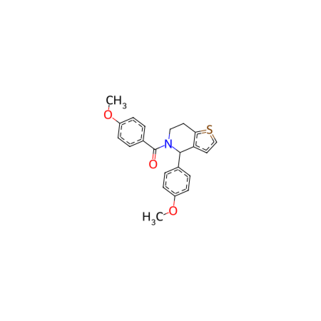 COc1ccc(C(=O)N2CCc3sccc3C2c2ccc(OC)cc2)cc1